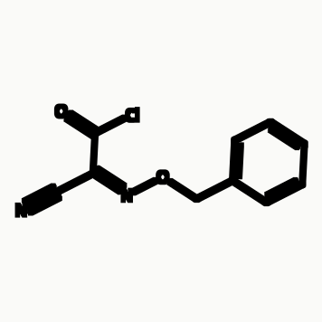 N#CC(=NOCc1ccccc1)C(=O)Cl